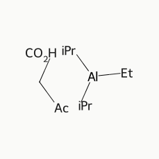 CC(=O)CC(=O)O.C[CH2][Al]([CH](C)C)[CH](C)C